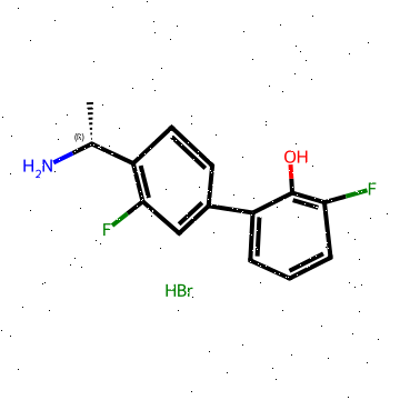 Br.C[C@@H](N)c1ccc(-c2cccc(F)c2O)cc1F